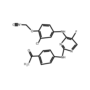 [C-]#[N+]COc1ccc(Nc2nc(Nc3ccc(C(C)=O)cc3)ncc2F)cc1Cl